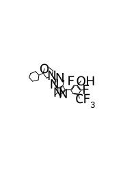 Cn1nc(-c2cc(C(F)(F)F)c(F)c(O)c2F)c2cnc(N3CCOC(C4CCCCC4)C3)nc21